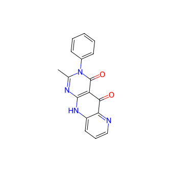 Cc1nc2[nH]c3cccnc3c(=O)c2c(=O)n1-c1ccccc1